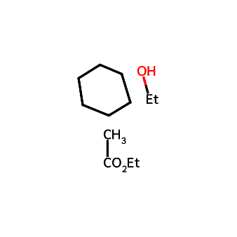 C1CCCCC1.CCO.CCOC(C)=O